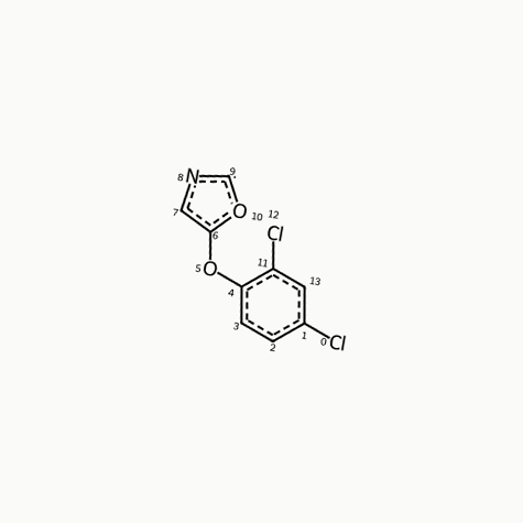 Clc1ccc(Oc2cn[c]o2)c(Cl)c1